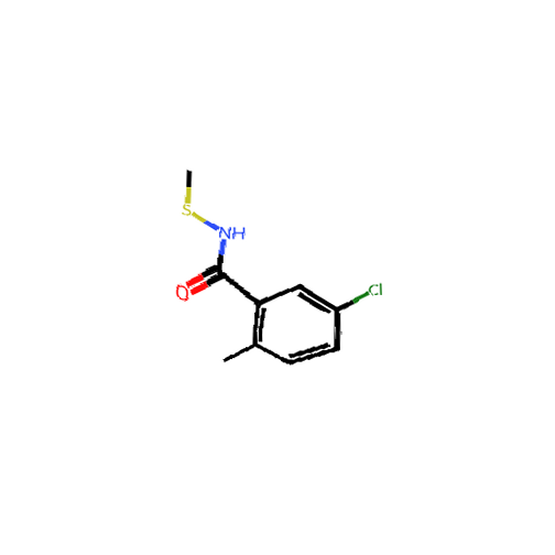 CSNC(=O)c1cc(Cl)ccc1C